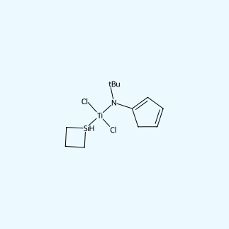 CC(C)(C)[N](C1=CC=CC1)[Ti]([Cl])([Cl])[SiH]1CCC1